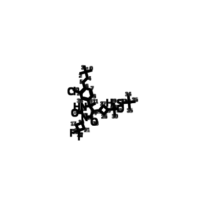 CC(C)(C)CCc1ccc(C2(C)NC(=O)N(C3CC(F)(F)C3)C(=O)[C@@H]2C2CC(C(C)(C)O[SiH2]C(C)(C)C)C2)cc1Cl